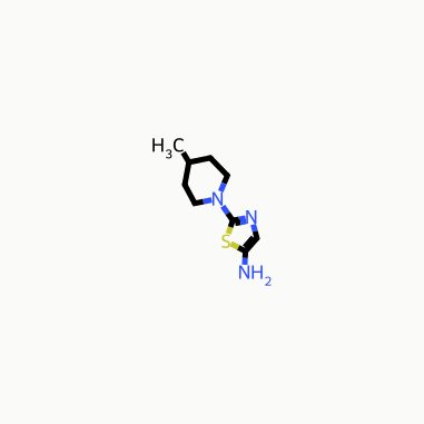 CC1CCN(c2ncc(N)s2)CC1